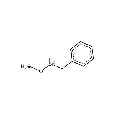 [SiH3]O[SiH2]Cc1ccccc1